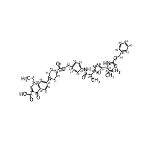 CCn1cc(C(=O)O)c(=O)c2ccc(N3CCN(C(=O)OCc4ccc(NC(=O)C(C)c5nnc([C@@H](NC(=O)OCc6ccccc6)C(C)C)o5)cc4)CC3)cc21